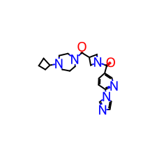 O=C(c1ccc(-n2ccnc2)nc1)N1CC(C(=O)N2CCCN(C3CCC3)CC2)C1